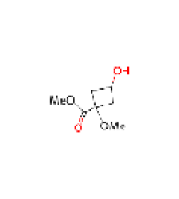 COC(=O)C1(OC)CC(O)C1